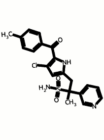 Cc1ccc(C(=O)c2[nH]c(CC(C)(c3cccnc3)S(N)(=O)=O)cc2Cl)cc1